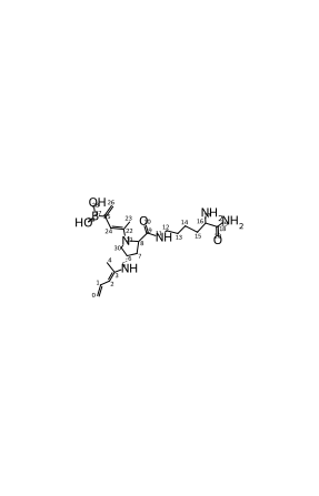 C=C/C=C(\C)N[C@H]1CC(C(=O)NCCCCC(N)C(N)=O)N(/C(C)=C/C(=C)B(O)O)C1